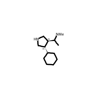 CNC(C)[C@@H]1CNC[C@H]1C1CCCCC1